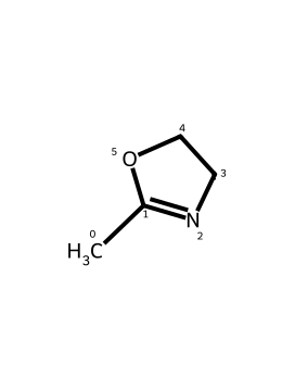 CC1=N[CH]CO1